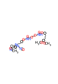 COc1ccc(CCCc2cccc(OCC(=O)NCCOCCOCCC(=O)NCCOc3ccc(CCc4nc5cc(-c6c(C)noc6C)ccc5n4CCN4CCOCC4)cc3)c2)cc1OC